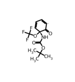 CC(C)(C)OC(=O)N[C@@]1(OC(F)(F)F)C=CC=[C]C1=O